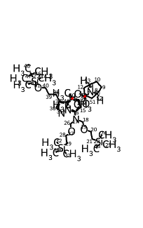 CC(C)(C)OC(=O)N1[C@@H]2CC[C@H]1C[C@@H](c1cc(N(COCC[Si](C)(C)C)COCC[Si](C)(C)C)n3ncc(CCCO[Si](C)(C)C(C)(C)C)c3n1)C2